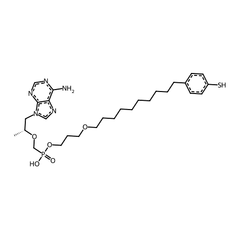 C[C@H](Cn1cnc2c(N)ncnc21)OCP(=O)(O)OCCCOCCCCCCCCCCc1ccc(S)cc1